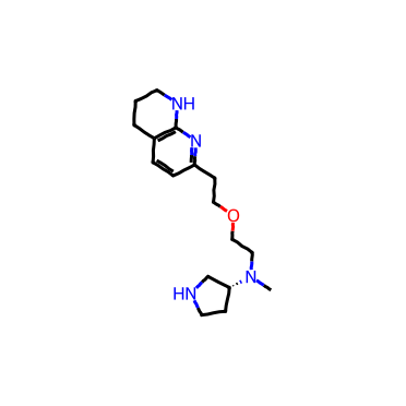 CN(CCOCCc1ccc2c(n1)NCCC2)[C@@H]1CCNC1